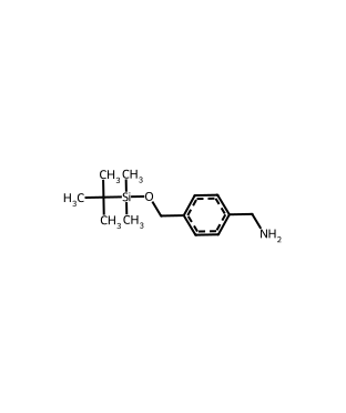 CC(C)(C)[Si](C)(C)OCc1ccc(CN)cc1